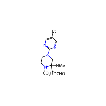 CCc1cnc(N2CCN(C(=O)O)C(CC=O)(NC)C2)nc1